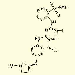 CCOc1cc(O[C@H]2CCN(C)C2)ccc1Nc1ncc(I)c(Nc2ccccc2S(=O)(=O)NC)n1